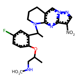 CC(CNC(=O)O)Oc1ccc(F)cc1C(C)N1CCCc2cn3ncc([N+](=O)[O-])c3nc21